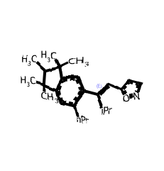 CCCc1cc2c(cc1/C(=C/c1ccno1)C(C)C)C(C)(C)C(C)C2(C)C